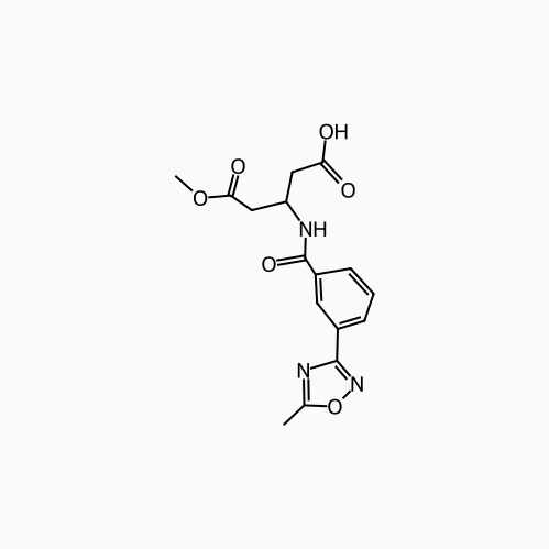 COC(=O)CC(CC(=O)O)NC(=O)c1cccc(-c2noc(C)n2)c1